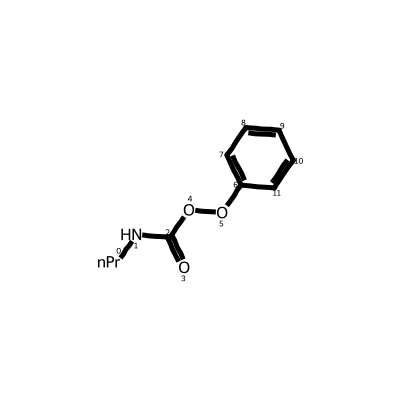 CCCNC(=O)OOc1ccccc1